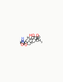 CC1(C)C(O[C@H]2CNCCO2)CCC23CC24CCC2(C)[C@H]5CCCOC5[C@H](O)C2(C)C4CCC13